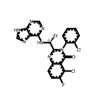 CC[C@H](Nc1ncnc2[nH]cnc12)c1nc2ccc(F)c(Cl)c2c(=O)n1-c1ccccc1Cl